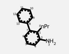 CCCc1c(N)cccc1-c1ccccc1